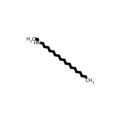 C=CNCCCCCCCCCCCCCCCCCC